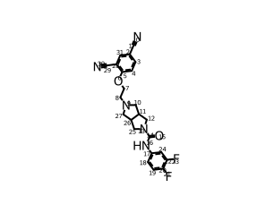 N#Cc1ccc(OCCN2CC3CN(C(=O)Nc4ccc(F)c(F)c4)CC3C2)c(C#N)c1